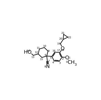 COc1ccc(C2(C#N)CCCC(CO)C2)cc1OCC1CC1